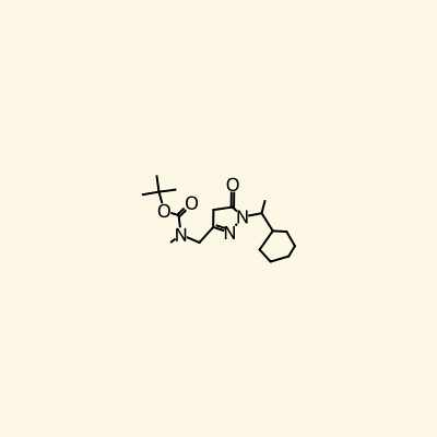 CC(C1CCCCC1)N1N=C(CN(C)C(=O)OC(C)(C)C)CC1=O